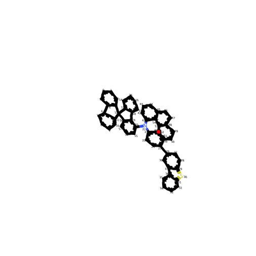 c1ccc2c(c1)-c1ccccc1C21c2ccccc2-c2c(N(c3ccc(-c4ccc5sc6ccccc6c5c4)cc3)c3cccc4ccc5ccccc5c34)cccc21